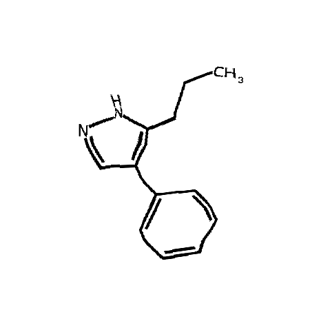 CCCc1[nH]ncc1-c1ccccc1